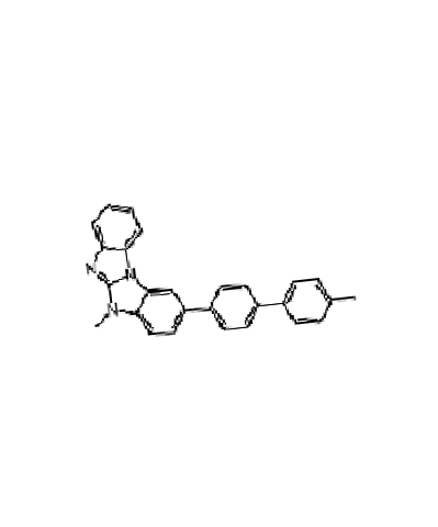 Cc1ccc(-c2ccc(-c3ccc4c(c3)n3c5ccccc5nc3n4C)cc2)cc1